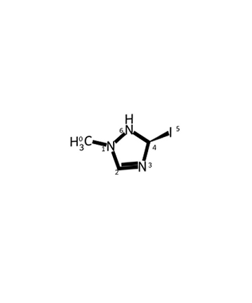 CN1C=N[C@H](I)N1